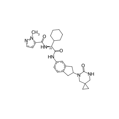 Cn1nccc1C(=O)N[C@H](C(=O)Nc1ccc2c(c1)CC(N1CC3(CC3)CNC1=O)C2)C1CCCCC1